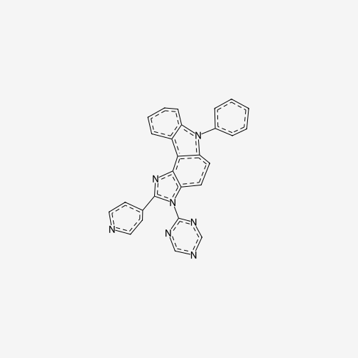 c1ccc(-n2c3ccccc3c3c4nc(-c5ccncc5)n(-c5ncncn5)c4ccc32)cc1